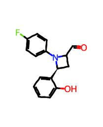 O=CC1C[C@@H](c2ccccc2O)N1c1ccc(F)cc1